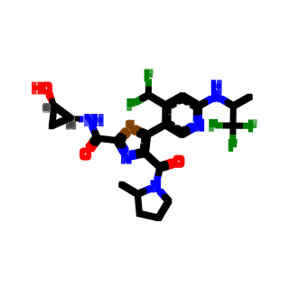 CC1CCCN1C(=O)c1nc(C(=O)N[C@@H]2C[C@H]2O)sc1-c1cnc(NC(C)C(F)(F)F)cc1C(F)F